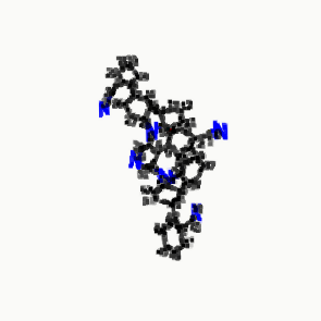 N#Cc1ccc(-c2c(-n3c4ccccc4c4cc(-c5ccccc5C#N)ccc43)cncc2-n2c3ccccc3c3cc(-c4ccccc4C#N)ccc32)cc1